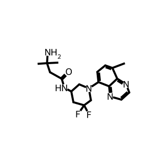 Cc1ccc(N2CC(NC(=O)CC(C)(C)N)CC(F)(F)C2)c2nccnc12